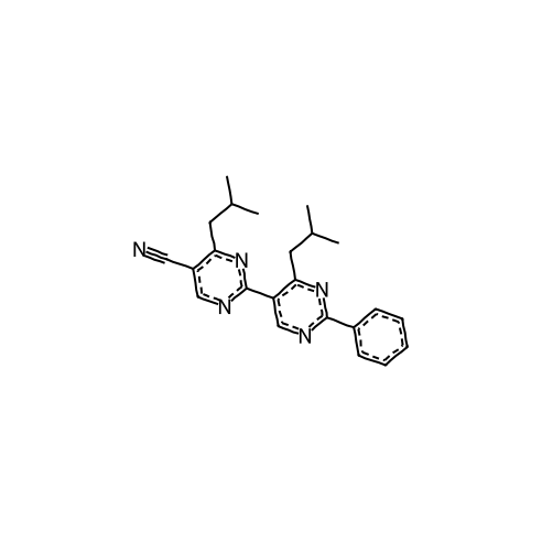 CC(C)Cc1nc(-c2cnc(-c3ccccc3)nc2CC(C)C)ncc1C#N